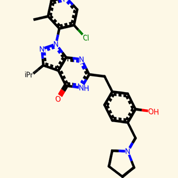 Cc1cncc(Cl)c1-n1nc(C(C)C)c2c(=O)[nH]c(Cc3ccc(CN4CCCC4)c(O)c3)nc21